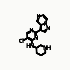 Clc1cnc(-c2cnn3ccncc23)nc1NC1CCCNC1